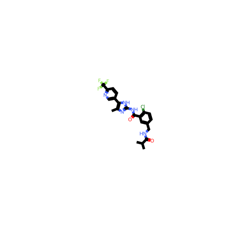 Cc1nc(NC(=O)c2cc(CNC(=O)C(C)C)ccc2Cl)[nH]c1-c1ccc(C(F)(F)F)nc1